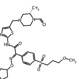 COCCCS(=O)(=O)c1ccc(/C(=N\OC2CCCC2)C(=O)Nc2ncc(CN3CCN(C=O)[C@@H](C)C3)s2)cc1